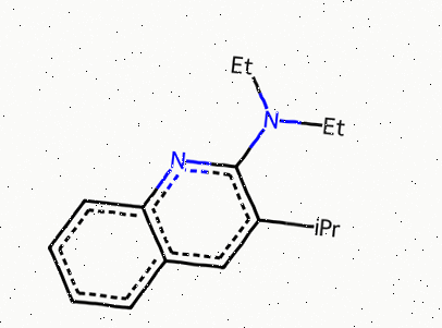 CCN(CC)c1nc2ccccc2cc1C(C)C